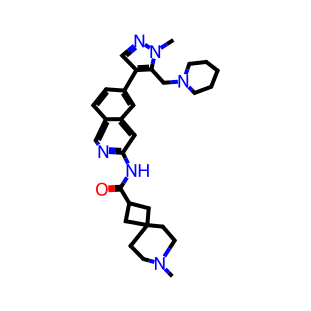 CN1CCC2(CC1)CC(C(=O)Nc1cc3cc(-c4cnn(C)c4CN4CCCCC4)ccc3cn1)C2